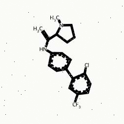 C=C(Nc1ccc(-c2cc(C(F)(F)F)ccc2Cl)cc1)C1CCCN1C